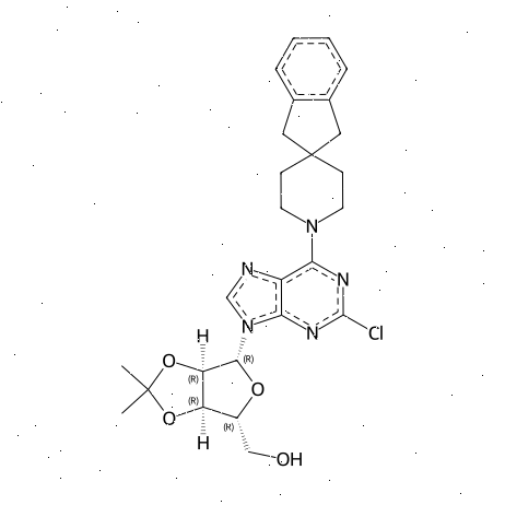 CC1(C)O[C@@H]2[C@H](O1)[C@@H](CO)O[C@H]2n1cnc2c(N3CCC4(CC3)Cc3ccccc3C4)nc(Cl)nc21